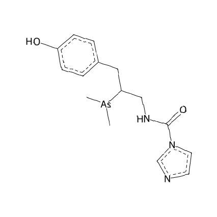 C[As](C)C(CNC(=O)n1ccnc1)Cc1ccc(O)cc1